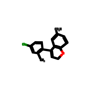 Cc1cc(Cl)ccc1C1=CCOc2ccc(C(=O)O)cc21